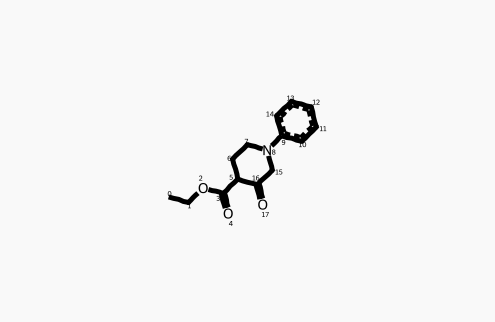 CCOC(=O)C1CCN(c2ccccc2)CC1=O